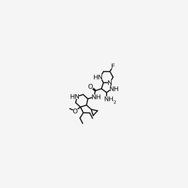 CCC(CC)C1(OC)CNCC(NC(=O)C2C(N)NN3CC(F)CNC23)C1C1CC1